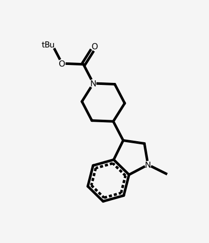 CN1CC(C2CCN(C(=O)OC(C)(C)C)CC2)c2ccccc21